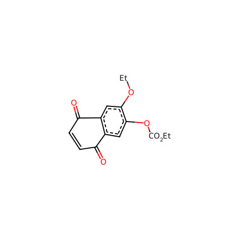 CCOC(=O)Oc1cc2c(cc1OCC)C(=O)C=CC2=O